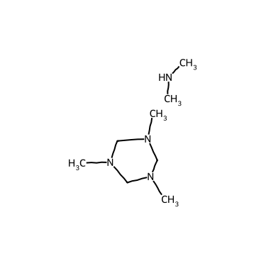 CN1CN(C)CN(C)C1.CNC